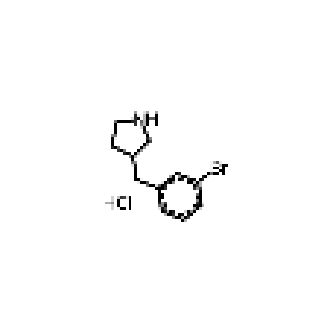 Brc1cccc(CC2CCNC2)c1.Cl